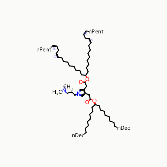 CCCCC/C=C\C/C=C\CCCCCCCCC(CCCCCCCC/C=C\C/C=C\CCCCC)OC(=O)Cc1cn(CCCN(C)C)cc1CC(=O)OC(CCCCCCCCCCCCCCCCCC)CCCCCCCCCCCCCCCCCC